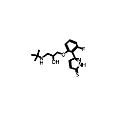 CC(C)(C)NCC(O)COc1cccc(F)c1-c1ccc(=S)[nH]n1